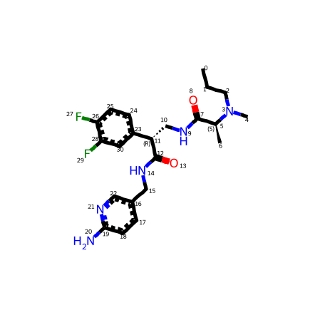 CCCN(C)[C@@H](C)C(=O)NC[C@H](C(=O)NCc1ccc(N)nc1)c1ccc(F)c(F)c1